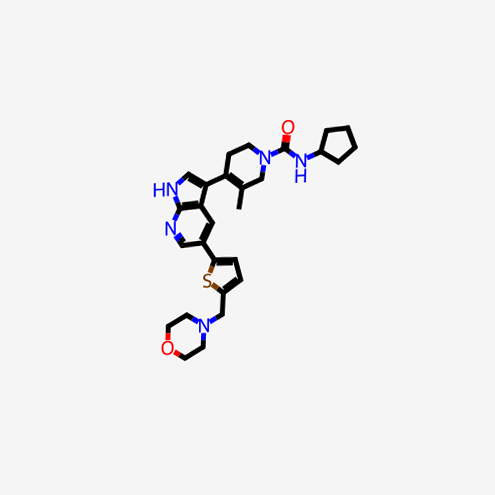 CC1=C(c2c[nH]c3ncc(-c4ccc(CN5CCOCC5)s4)cc23)CCN(C(=O)NC2CCCC2)C1